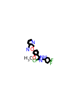 COc1cc(OCc2ncccc2C#N)ccc1-c1[nH]c(C2CCC(F)(F)CC2)nc1Cl